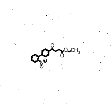 CCOC(=O)CCC(=O)c1ccc(-c2ccccc2[N+](=O)[O-])cc1